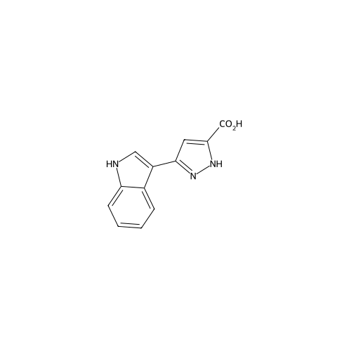 O=C(O)c1cc(-c2c[nH]c3ccccc23)n[nH]1